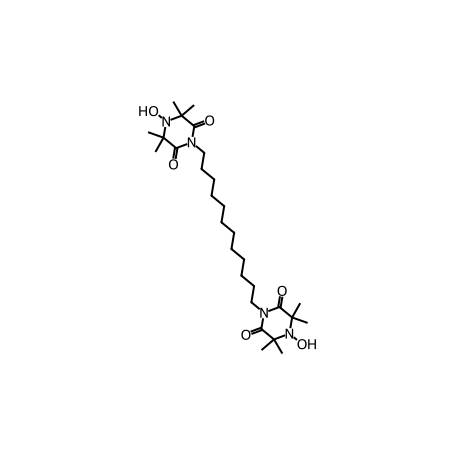 CC1(C)C(=O)N(CCCCCCCCCCCCN2C(=O)C(C)(C)N(O)C(C)(C)C2=O)C(=O)C(C)(C)N1O